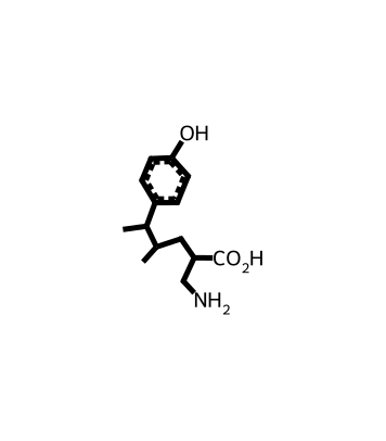 CC(CC(CN)C(=O)O)C(C)c1ccc(O)cc1